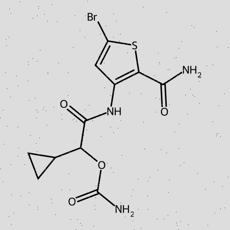 NC(=O)OC(C(=O)Nc1cc(Br)sc1C(N)=O)C1CC1